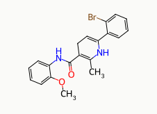 COc1ccccc1NC(=O)C1=C(C)NC(c2ccccc2Br)=CC1